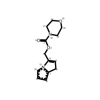 O=C(OCC1=CCc2cccn21)N1CCOCC1